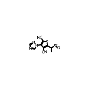 CC([S+]=O)c1sc(C#N)c(-n2cncn2)c1C#N